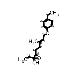 CCc1ccc(OC/C=C(\C)CCC2OC2(C)CC)cc1